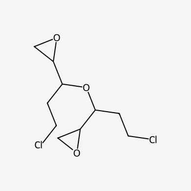 ClCCC(OC(CCCl)C1CO1)C1CO1